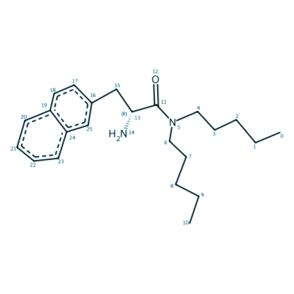 CCCCCN(CCCCC)C(=O)[C@H](N)Cc1ccc2ccccc2c1